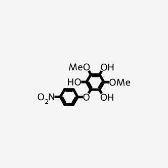 COc1c(O)c(OC)c(O)c(Oc2ccc([N+](=O)[O-])cc2)c1O